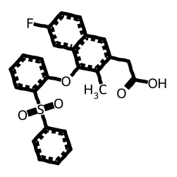 Cc1c(CC(=O)O)cc2ccc(F)cc2c1Oc1ccccc1S(=O)(=O)c1ccccc1